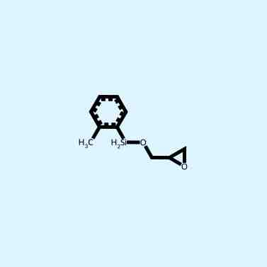 Cc1ccccc1[SiH2]OCC1CO1